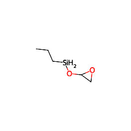 CCC[SiH2]OC1CO1